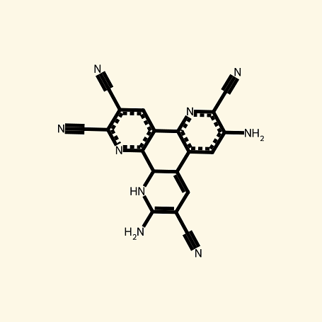 N#CC1=C(N)NC2C(=C1)c1cc(N)c(C#N)nc1-c1cc(C#N)c(C#N)nc12